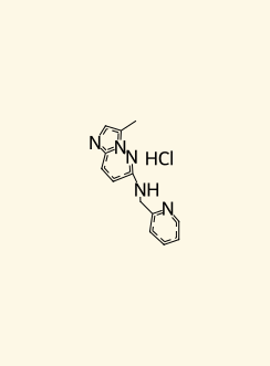 Cc1cnc2ccc(NCc3ccccn3)nn12.Cl